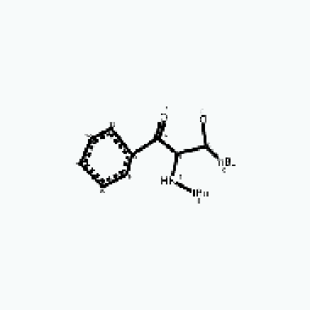 CCCCC(Cl)C(NC(C)(C)C)C(=O)c1ccccc1